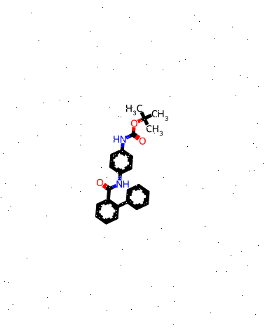 CC(C)(C)OC(=O)Nc1ccc(NC(=O)c2ccccc2-c2ccccc2)cc1